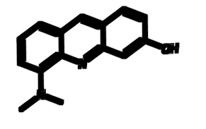 CN(C)c1cccc2cc3ccc(O)cc3nc12